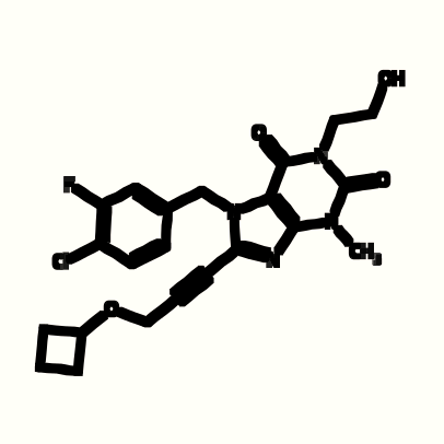 Cn1c(=O)n(CCO)c(=O)c2c1nc(C#CCOC1CCC1)n2Cc1ccc(Cl)c(F)c1